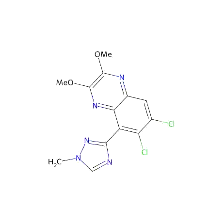 COc1nc2cc(Cl)c(Cl)c(-c3ncn(C)n3)c2nc1OC